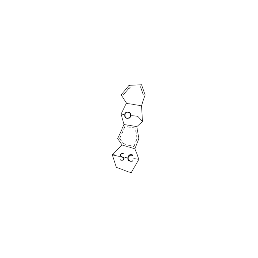 C1=CC2C3COC(c4cc5c(cc43)C3CCC5SC3)C2C=C1